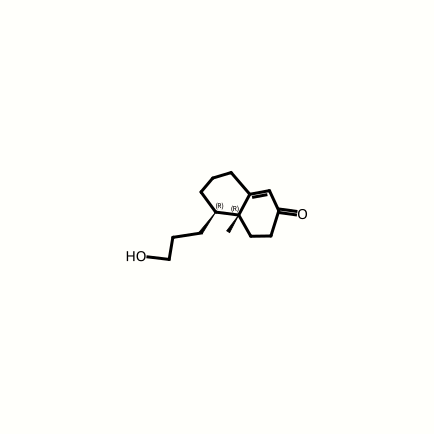 C[C@]12CCC(=O)C=C1CCC[C@@H]2CCCO